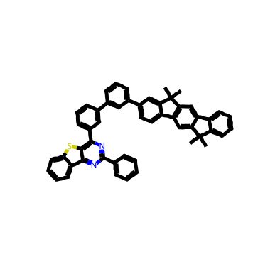 CC1(C)c2ccccc2-c2cc3c(cc21)-c1ccc(-c2cccc(-c4cccc(-c5nc(-c6ccccc6)nc6c5sc5ccccc56)c4)c2)cc1C3(C)C